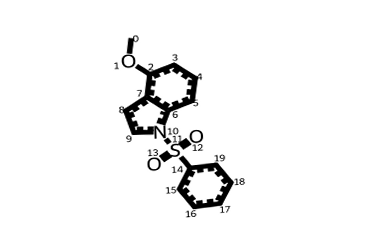 COc1cccc2c1ccn2S(=O)(=O)c1ccccc1